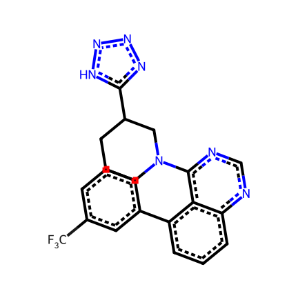 FC(F)(F)c1cccc(-c2cccc3ncnc(N4CCCC(c5nnn[nH]5)C4)c23)c1